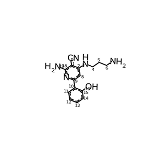 N#Cc1c(NCCCN)cc(-c2ccccc2O)nc1N